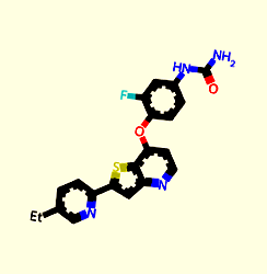 CCc1ccc(-c2cc3nccc(Oc4ccc(NC(N)=O)cc4F)c3s2)nc1